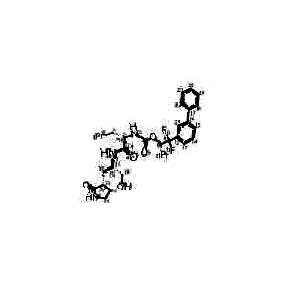 CC(C)C[C@H](NC(=O)O[C@@H](C(C)C)C(F)(F)c1cccc(-c2ccccc2)c1)C(=O)N[C@H](CO)C[C@@H]1CCNC1=O